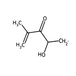 [CH2]C(O)C(=O)C(=C)C